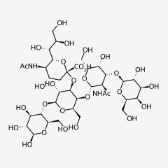 CC(=O)N[C@H]1[C@H](O[C@@H]2[C@H](O[C@]3(C(=O)O)C[C@H](O)[C@@H](NC(C)=O)[C@H]([C@H](O)[C@H](O)CO)O3)[C@@H](O)[C@H](O[C@H]3[C@H](O)[C@@H](O)[C@H](O)O[C@@H]3CO)O[C@@H]2CO)O[C@H](CO)[C@H](O)[C@@H]1O[C@@H]1O[C@H](CO)[C@H](O)[C@H](O)[C@H]1O